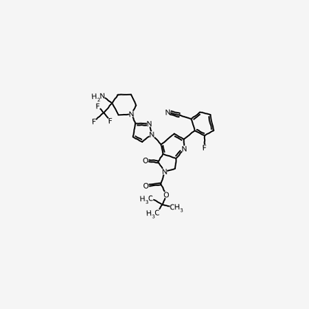 CC(C)(C)OC(=O)N1Cc2nc(-c3c(F)cccc3C#N)cc(-n3ccc(N4CCCC(N)(C(F)(F)F)C4)n3)c2C1=O